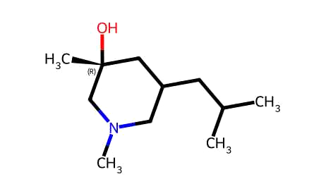 CC(C)CC1CN(C)C[C@](C)(O)C1